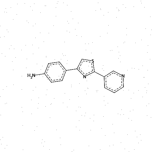 Nc1ccc(-c2csc(-c3cccnc3)n2)cc1